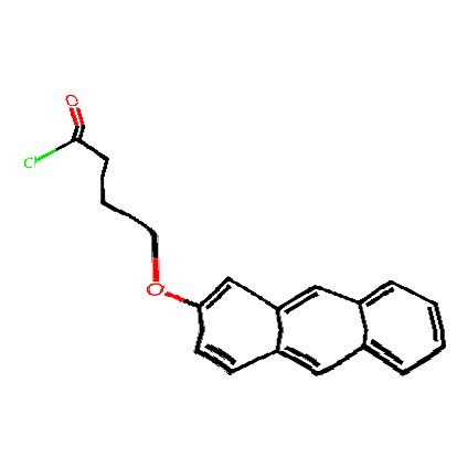 O=C(Cl)CCCOc1ccc2cc3ccccc3cc2c1